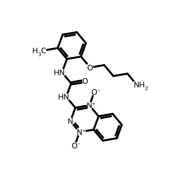 Cc1cccc(OCCCN)c1NC(=O)Nc1n[n+]([O-])c2ccccc2[n+]1[O-]